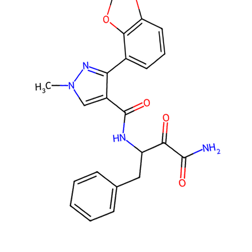 Cn1cc(C(=O)NC(Cc2ccccc2)C(=O)C(N)=O)c(-c2cccc3c2OCO3)n1